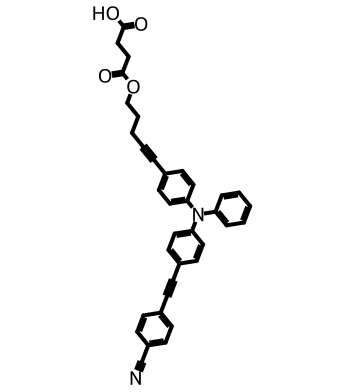 N#Cc1ccc(C#Cc2ccc(N(c3ccccc3)c3ccc(C#CCCCOC(=O)CCC(=O)O)cc3)cc2)cc1